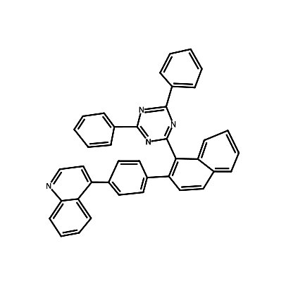 c1ccc(-c2nc(-c3ccccc3)nc(-c3c(-c4ccc(-c5ccnc6ccccc56)cc4)ccc4ccccc34)n2)cc1